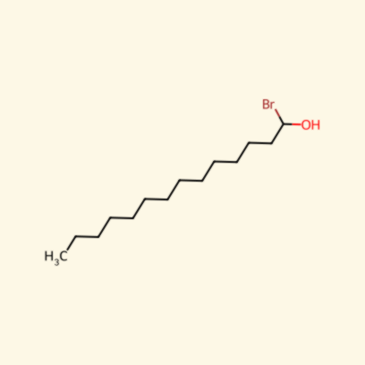 CCCCCCCCCCCCCC(O)Br